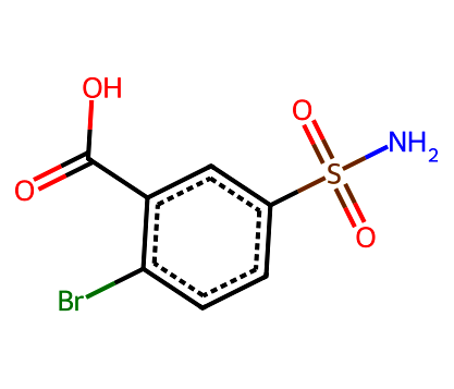 NS(=O)(=O)c1ccc(Br)c(C(=O)O)c1